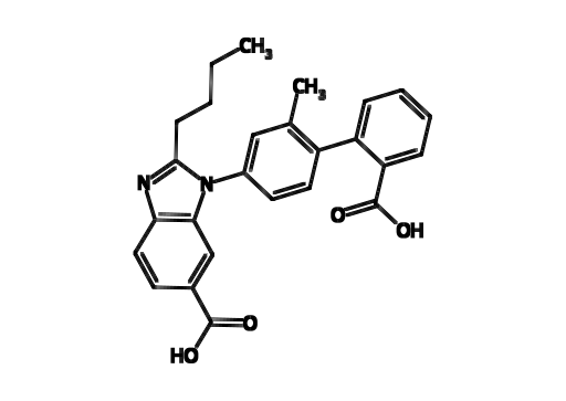 CCCCc1nc2ccc(C(=O)O)cc2n1-c1ccc(-c2ccccc2C(=O)O)c(C)c1